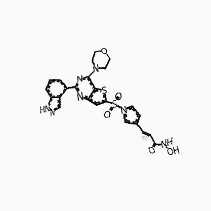 O=C(/C=C/c1ccn(S(=O)(=O)c2cc3nc(-c4cccc5[nH]ncc45)nc(N4CCOCC4)c3s2)c1)NO